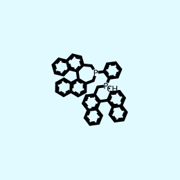 C[P@@](Cc1ccc2ccccc2c1-c1cccc2ccccc12)c1ccccc1P1Cc2ccc3ccccc3c2-c2c(ccc3ccccc23)C1